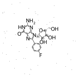 Nc1nc2c(nc(-c3ccc(F)cc3)n2[C@@H]2O[C@H](CO)[C@@H](O)[C@H]2O)c(=O)[nH]1